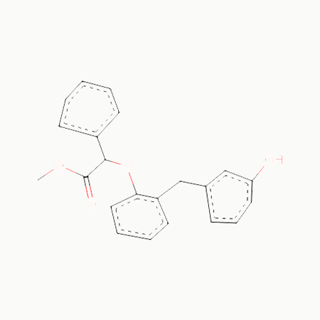 COC(=O)C(Oc1ccccc1Cc1cccc(O)c1)c1ccccc1